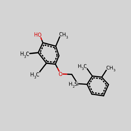 Cc1cccc([SiH2]COc2cc(C)c(O)c(C)c2C)c1C